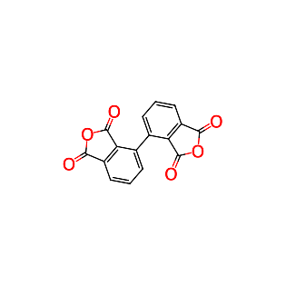 O=C1OC(=O)c2c1cccc2-c1cccc2c1C(=O)OC2=O